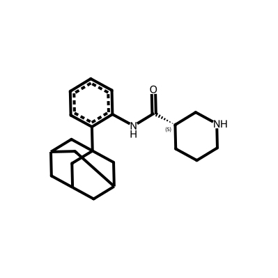 O=C(Nc1ccccc1C12CC3CC(CC(C3)C1)C2)[C@H]1CCCNC1